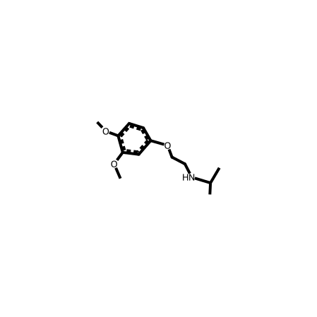 COc1ccc(OCCNC(C)C)cc1OC